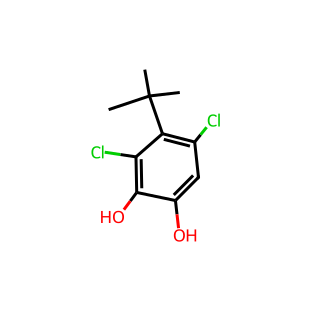 CC(C)(C)c1c(Cl)cc(O)c(O)c1Cl